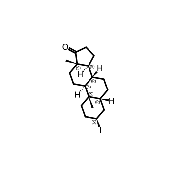 C[C@]12CC[C@H](I)C[C@H]1CC[C@@H]1[C@@H]2CC[C@]2(C)C(=O)CC[C@@H]12